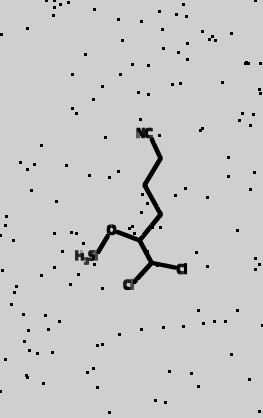 N#CCCCC(O[SiH3])C(Cl)Cl